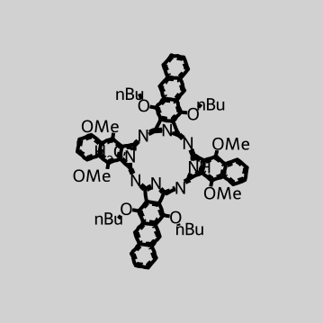 CCCCOc1c2c(c(OCCCC)c3cc4ccccc4cc13)-c1nc-2nc2[nH]c(nc3nc(nc4c5c(OC)c6ccccc6c(OC)c5c(n1)n4C)-c1c-3c(OCCCC)c3cc4ccccc4cc3c1OCCCC)c1c(OC)c3ccccc3c(OC)c21